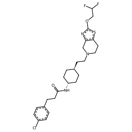 O=C(CCc1ccc(Cl)cc1)N[C@H]1CC[C@H](CCN2CCc3sc(OCC(F)F)nc3C2)CC1